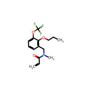 C=CC(=O)N(C)Cc1cccc(OC(F)(F)F)c1OCCC